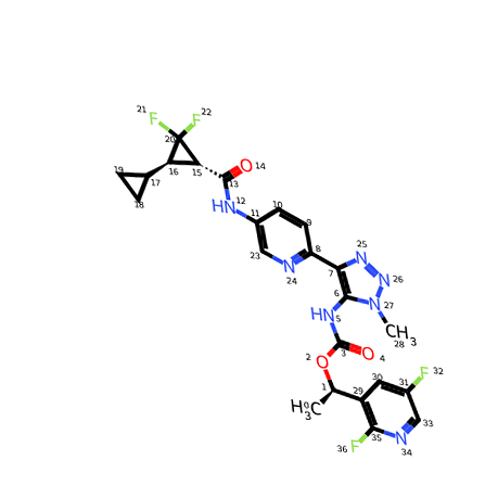 C[C@@H](OC(=O)Nc1c(-c2ccc(NC(=O)[C@@H]3[C@@H](C4CC4)C3(F)F)cn2)nnn1C)c1cc(F)cnc1F